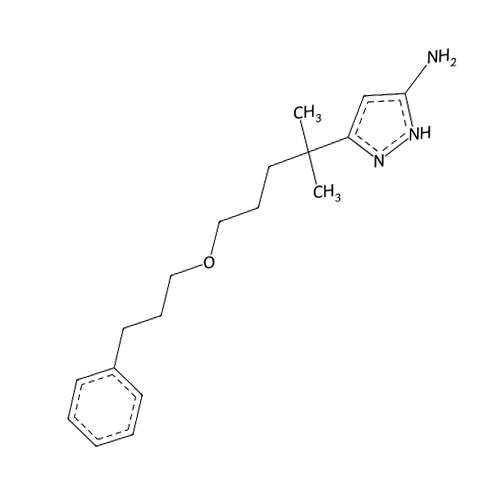 CC(C)(CCCOCCCc1ccccc1)c1cc(N)[nH]n1